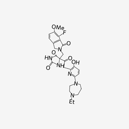 CCN1CCCN(c2ccc(O)c(CC(=O)C3(CN4Cc5ccc(OC)c(F)c5C4=O)NC(=O)NC3=O)n2)CC1